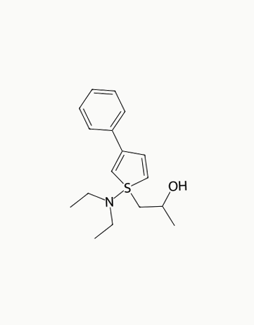 CCN(CC)S1(CC(C)O)C=CC(c2ccccc2)=C1